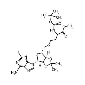 COC(=O)C(CCSC[C@H]1O[C@@H](n2cnc3c(N)nc(I)nc32)[C@@H]2OC(C)(C)O[C@@H]21)NC(=O)OC(C)(C)C